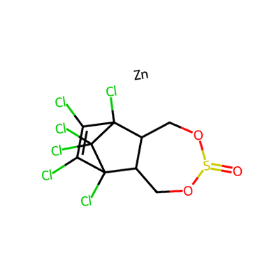 O=S1OCC2C(CO1)C1(Cl)C(Cl)=C(Cl)C2(Cl)C1(Cl)Cl.[Zn]